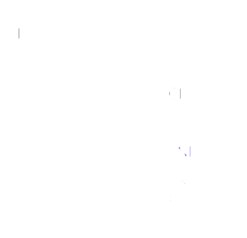 CC/C=C\CC/C=C(\C)CNC(=O)C1CC1